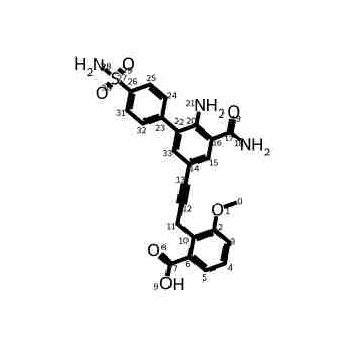 COc1cccc(C(=O)O)c1CC#Cc1cc(C(N)=O)c(N)c(-c2ccc(S(N)(=O)=O)cc2)c1